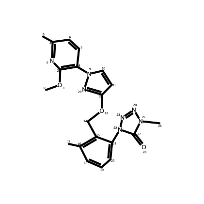 COc1nc(C)ccc1-n1ccc(OCc2c(C)cccc2-n2nnn(C)c2=O)n1